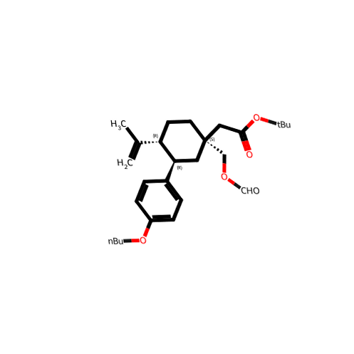 C=C(C)[C@@H]1CC[C@@](COC=O)(CC(=O)OC(C)(C)C)C[C@H]1c1ccc(OCCCC)cc1